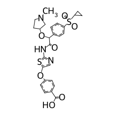 CN1CCC(OC(C(=O)Nc2ncc(Oc3ccc(C(=O)O)cc3)s2)c2ccc(S(=O)(=O)C3CC3)cc2)C1